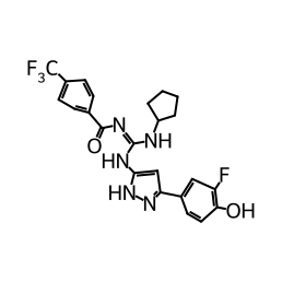 O=C(/N=C(\Nc1cc(-c2ccc(O)c(F)c2)n[nH]1)NC1CCCC1)c1ccc(C(F)(F)F)cc1